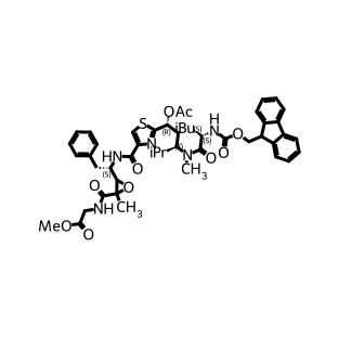 CC[C@H](C)[C@H](NC(=O)OCC1c2ccccc2-c2ccccc21)C(=O)N(C)[C@H](C[C@@H](OC(C)=O)c1nc(C(=O)N[C@@H](Cc2ccccc2)C2OC2(C)C(=O)NCC(=O)OC)cs1)C(C)C